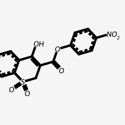 O=C(Oc1ccc([N+](=O)[O-])cc1)C1=C(O)c2ccccc2S(=O)(=O)C1